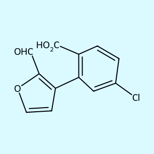 O=Cc1occc1-c1cc(Cl)ccc1C(=O)O